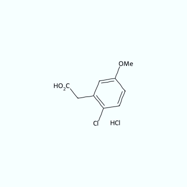 COc1ccc(Cl)c(CC(=O)O)c1.Cl